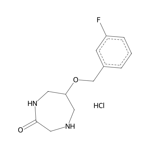 Cl.O=C1CNCC(OCc2cccc(F)c2)CN1